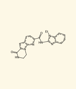 CCn1c(NC(=O)c2ccc3cc4n(c3n2)CCNC4=O)nc2ccccc21